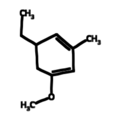 CCC1C=C(C)C=C(OC)C1